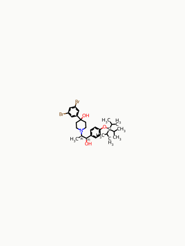 CC(C)[Si](Oc1ccc([C@@H](O)[C@@H](C)N2CCC(O)(c3cc(Br)cc(Br)c3)CC2)cc1)(C(C)C)C(C)C